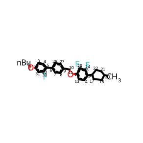 CCCCOc1ccc(-c2ccc(COc3ccc(C4CCC(C)CC4)c(F)c3F)cc2)c(F)c1